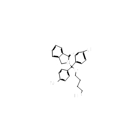 N#Cc1ccc(C(OCCCCO)(c2ccc(Cl)cc2)N2Cc3ccccc3C2=O)cc1